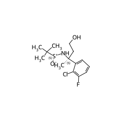 CC(C)(C)[S@@+]([O-])N[C@@](C)(CCO)c1cccc(F)c1Cl